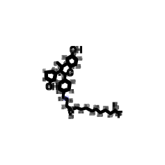 CC1=C(c2cccc(O)c2)C(c2ccc(/C=C/CN(C)CCCCCCCCC(F)F)cc2)Oc2ccc(O)cc21